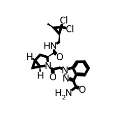 C[C@@H]1[C@H](CNC(=O)[C@@H]2C[C@H]3C[C@H]3N2C(=O)Cn2nc(C(N)=O)c3ccccc32)C1(Cl)Cl